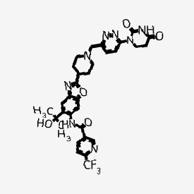 CC(C)(O)c1cc2nc(C3CCN(Cc4ccc(N5CCC(=O)NC5=O)nn4)CC3)oc2cc1NC(=O)c1ccc(C(F)(F)F)nc1